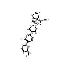 CCOc1cccc(-c2ccc(C3=CCN(S(=O)(=O)C4(C(=O)OC)CCOCC4)CC3)cc2C)c1